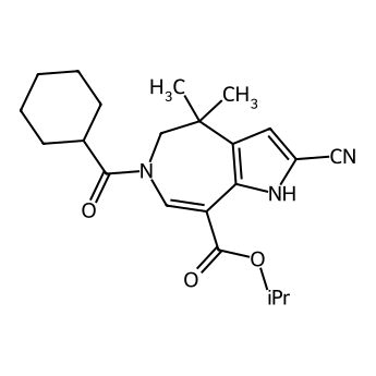 CC(C)OC(=O)C1=CN(C(=O)C2CCCCC2)CC(C)(C)c2cc(C#N)[nH]c21